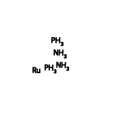 N.N.P.P.[Ru]